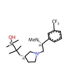 CN[C@@H](CN1CC[C@H](CC(C)(C)[Si](C)(C)O)C1)c1cccc(C(F)(F)F)c1